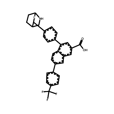 O=C(O)c1cc(-c2ccc(C3CC4CCC3CN4)cc2)c2ccc(-c3ccc(C(F)(F)F)cc3)cc2c1